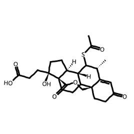 CC(=O)SC1[C@@H]2C3CC[C@@]4(C(=O)OC[C@@]35CCC(=O)C=C5[C@H]1C)[C@H]2CC[C@@]4(O)CCC(=O)O